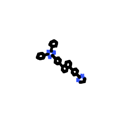 c1ccc(-c2nc(-c3ccccc3)nc(-c3ccc(-c4cccc5c(-c6ccc(-c7ncccn7)cc6)cccc45)cc3)n2)cc1